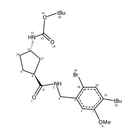 COc1cc(CNC(=O)[C@H]2CC[C@H](NC(=O)OC(C)(C)C)C2)c(Br)cc1C(C)(C)C